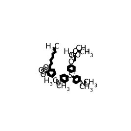 CCCCCCCCc1ccccc1S(=O)(=O)[O-].CN(C)c1ccc([S+](c2ccc(OCC(=O)OC(C)(C)C)cc2)c2ccc(N(C)C)cc2)cc1